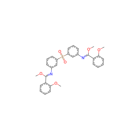 CO/C(=N\c1cccc(S(=O)(=O)c2cccc(/N=C(\OC)c3ccccc3OC)c2)c1)c1ccccc1OC